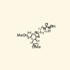 COc1ccc(-c2nc(C3CCN(C(=O)NO)CC3)sc2-c2ccc(OC)cc2)cc1